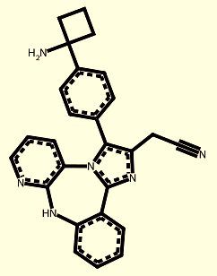 N#CCc1nc2n(c1-c1ccc(C3(N)CCC3)cc1)-c1cccnc1Nc1ccccc1-2